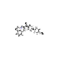 N#Cc1ccc(N2CCN(C(=S)N/C=C3/COc4ccccc43)CC2)cc1